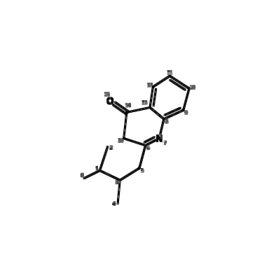 CC(C)C(C)CC1=Nc2ccccc2C(=O)C1